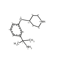 CC(C)(N)c1cccc(OC2CCNCC2)c1